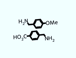 COc1ccc(CN)cc1.NCc1ccc(C(=O)O)cc1